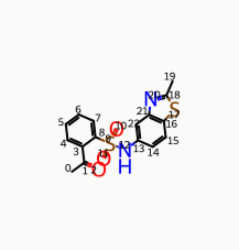 CC(=O)c1ccccc1S(=O)(=O)Nc1ccc2sc(C)nc2c1